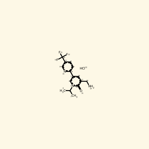 CC(C)n1cc(-c2ccc(C(F)(F)F)cn2)cc(CN)c1=O.Cl